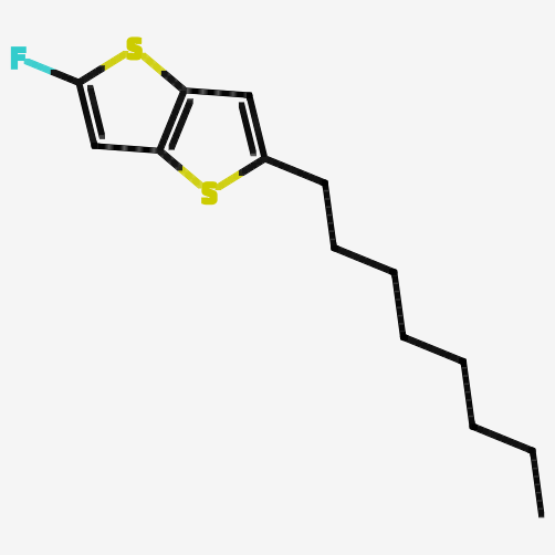 CCCCCCCCc1cc2sc(F)cc2s1